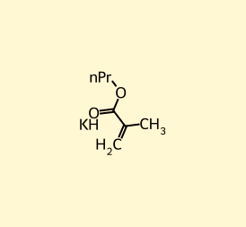 C=C(C)C(=O)OCCC.[KH]